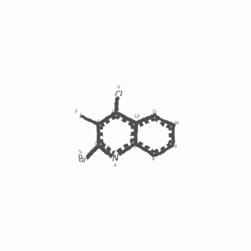 Clc1c(I)c(Br)nc2ccccc12